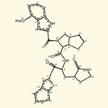 COc1cccc2[nH]c(C(=O)N3CC4CCCC4C3C(=O)NC(CC3CCNC3=O)C(=O)c3nc4ccccc4s3)cc12